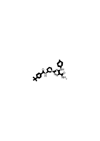 Cc1ccc(Nc2nc(N3CCCC(NC(=O)c4ccc(C(C)(C)C)cc4)C3)nnc2C(N)=O)cc1